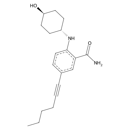 CCCCC#Cc1ccc(N[C@H]2CC[C@H](O)CC2)c(C(N)=O)c1